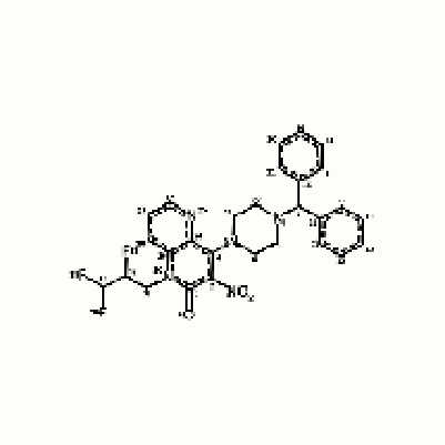 O=c1c([N+](=O)[O-])c(N2CCN(C(c3ccccc3)c3ccccc3)CC2)c2ncccc2n1CC(F)C(F)F